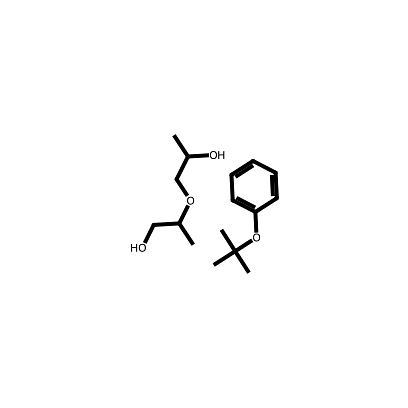 CC(C)(C)Oc1ccccc1.CC(O)COC(C)CO